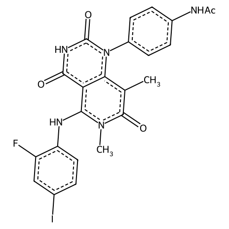 CC(=O)Nc1ccc(-n2c(=O)[nH]c(=O)c3c(Nc4ccc(I)cc4F)n(C)c(=O)c(C)c32)cc1